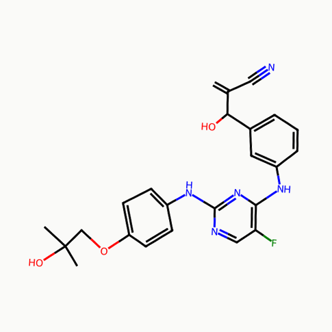 C=C(C#N)C(O)c1cccc(Nc2nc(Nc3ccc(OCC(C)(C)O)cc3)ncc2F)c1